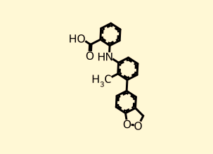 Cc1c(Nc2ccccc2C(=O)O)cccc1-c1ccc2c(c1)COO2